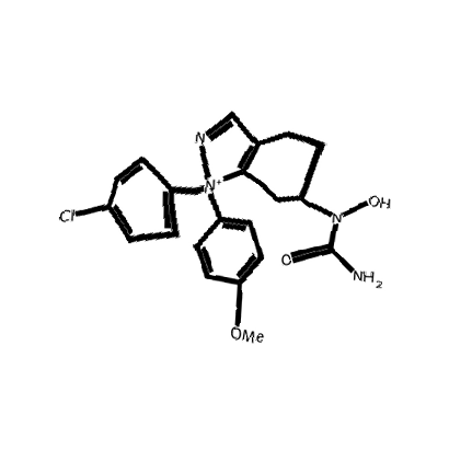 COc1ccc([N+]2(c3ccc(Cl)cc3)N=CC3=C2CC(N(O)C(N)=O)CC3)cc1